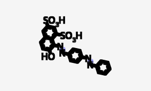 O=S(=O)(O)c1cc(S(=O)(=O)O)c2c(/N=N/c3ccc(/N=N/c4ccccc4)cc3)c(O)ccc2c1